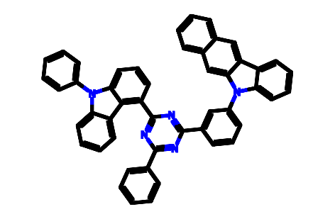 c1ccc(-c2nc(-c3cccc(-n4c5ccccc5c5cc6ccccc6cc54)c3)nc(-c3cccc4c3c3ccccc3n4-c3ccccc3)n2)cc1